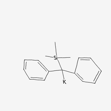 C[Si](C)(C)[C]([K])(c1ccccc1)c1ccccc1